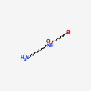 NCCCCCCCCCCNC(=O)CCCCCCCCC=O